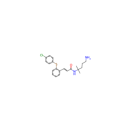 CC(C)(CCCN)NC(=O)C=Cc1ccccc1Sc1ccc(Cl)cc1